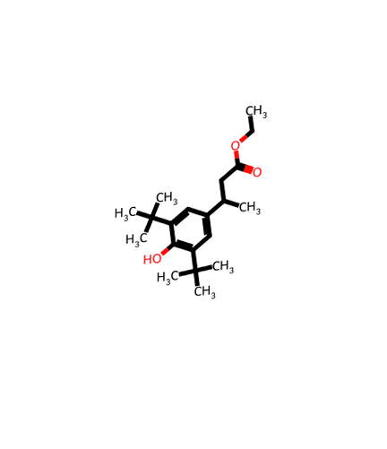 CCOC(=O)CC(C)c1cc(C(C)(C)C)c(O)c(C(C)(C)C)c1